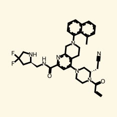 C=CC(=O)N1CCN(c2cc(C(=O)NC[C@H]3CC(F)(F)CN3)nc3c2CCN(c2cccc4cccc(C)c24)C3)C[C@@H]1CC#N